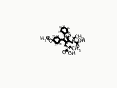 CCN(Cc1c(CN(CC)C(=O)O)c2sc3ccccc3n2c1-c1ccc(OC)cc1)C(=O)O